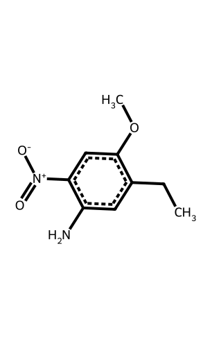 CCc1cc(N)c([N+](=O)[O-])cc1OC